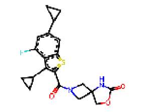 O=C1NC2(CO1)CN(C(=O)c1sc3cc(C4CC4)cc(F)c3c1C1CC1)C2